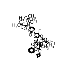 C[C@H](NP(=O)(OC[C@H]1S[C@@H](n2ccc(N(C(=O)OC(C)(C)C)C(=O)OC(C)(C)C)nc2=O)[C@@H](F)[C@@H]1OC(=O)OC(C)(C)C)Oc1ccccc1)C(=O)OC1CCC1